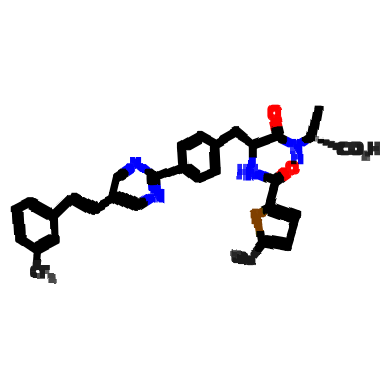 C[C@@H](NC(=O)[C@H](Cc1ccc(-c2ncc(/C=C/c3cccc(C(F)(F)F)c3)cn2)cc1)NC(=O)c1ccc(C(C)(C)C)s1)C(=O)O